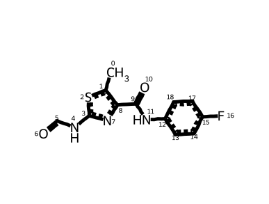 Cc1sc(NC=O)nc1C(=O)Nc1ccc(F)cc1